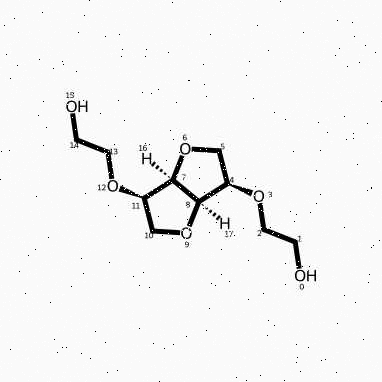 OCCO[C@@H]1CO[C@H]2[C@@H]1OC[C@H]2OCCO